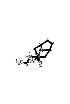 O=NN1CC2CCC(C1)N2C(=O)NCC(F)(F)F